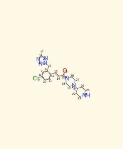 Cc1nnn(Cc2cc(Cl)ccc2/C=C/C(=O)N2CCN(C3CCNCC3)CC2)n1